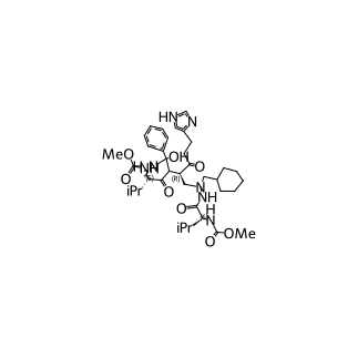 COC(=O)N[C@H](C(=O)NN(CC1CCCCC1)C[C@H](C(=O)CCc1c[nH]cn1)C(C(=O)[C@@H](NC(=O)OC)C(C)C)C(N)(O)c1ccccc1)C(C)C